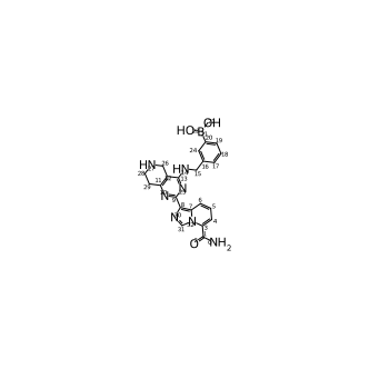 NC(=O)c1cccc2c(-c3nc4c(c(NCc5cccc(B(O)O)c5)n3)CNCC4)ncn12